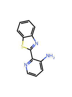 Nc1cccnc1-c1nc2ccccc2s1